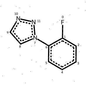 Fc1ccccc1-n1ccnn1